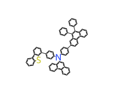 c1ccc(-c2c(-c3ccccc3)c3cc(-c4ccc(N(c5ccc(-c6cccc7c6sc6ccccc67)cc5)c5cc6ccccc6c6ccccc56)cc4)ccc3c3ccccc23)cc1